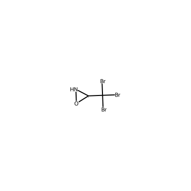 BrC(Br)(Br)[C]1NO1